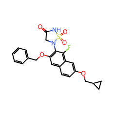 O=C1CN(c2c(OCc3ccccc3)cc3ccc(OCC4CC4)cc3c2F)S(=O)(=O)N1